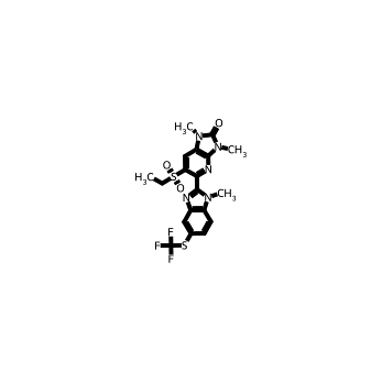 CCS(=O)(=O)c1cc2c(nc1-c1nc3cc(SC(F)(F)F)ccc3n1C)n(C)c(=O)n2C